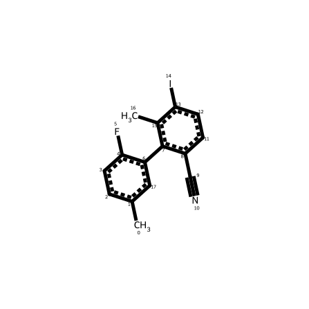 Cc1ccc(F)c(-c2c(C#N)ccc(I)c2C)c1